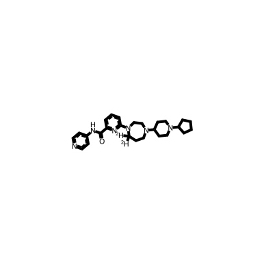 [2H]C1([2H])CCN(C2CCN(C3CCCC3)CC2)CCN1c1cccc(C(=O)Nc2ccncc2)n1